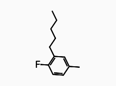 CCCCCc1cc(C)ccc1F